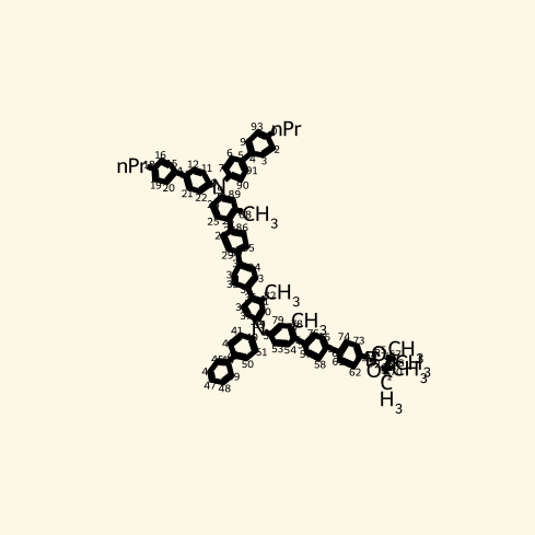 CCCc1ccc(-c2ccc(N(c3ccc(-c4ccc(CCC)cc4)cc3)c3ccc(-c4ccc(-c5ccc(-c6ccc(N(c7ccc(-c8ccccc8)cc7)c7ccc(-c8ccc(-c9ccc(B%10OC(C)(C)C(C)(C)O%10)cc9)cc8)c(C)c7)cc6C)cc5)cc4)c(C)c3)cc2)cc1